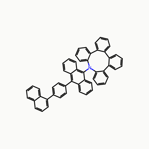 c1ccc2c(-c3ccc(-c4c5ccccc5c(-n5c6ccccc6c6ccccc6c6ccccc6c6ccccc65)c5ccccc45)cc3)cccc2c1